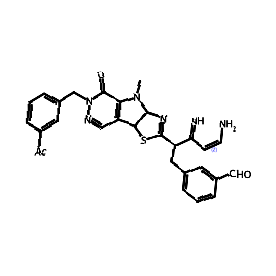 CC(=O)c1cccc(Cn2ncc3c(c2=O)N(C)C2N=C(C(Cc4cccc(C=O)c4)C(=N)/C=C\N)SC32)c1